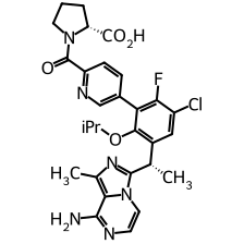 Cc1nc([C@@H](C)c2cc(Cl)c(F)c(-c3ccc(C(=O)N4CCC[C@@H]4C(=O)O)nc3)c2OC(C)C)n2ccnc(N)c12